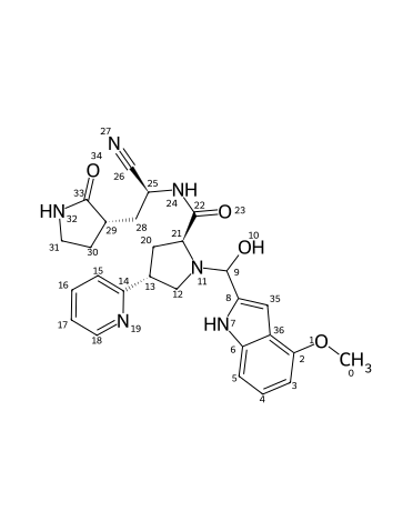 COc1cccc2[nH]c(C(O)N3C[C@H](c4ccccn4)C[C@H]3C(=O)N[C@H](C#N)C[C@@H]3CCNC3=O)cc12